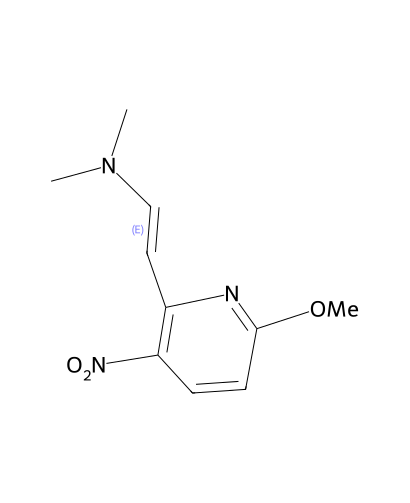 COc1ccc([N+](=O)[O-])c(/C=C/N(C)C)n1